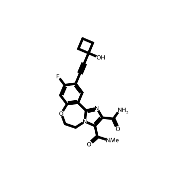 CNC(=O)c1c(C(N)=O)nc2n1CCOc1cc(F)c(C#CC3(O)CCC3)cc1-2